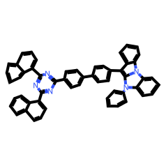 c1ccc(-n2c3ccccc3n3c4ccccc4c(-c4ccc(-c5ccc(-c6nc(-c7cccc8ccccc78)nc(-c7cccc8ccccc78)n6)cc5)cc4)c23)cc1